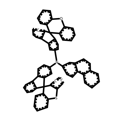 c1ccc2c(c1)Oc1ccccc1C21c2ccccc2-c2cc(N(c3ccc4c(c3)C3(c5ccccc5Sc5ccccc53)c3ccccc3-4)c3ccc4c(ccc5ccccc54)c3)ccc21